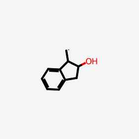 [CH2]C1c2ccccc2CC1O